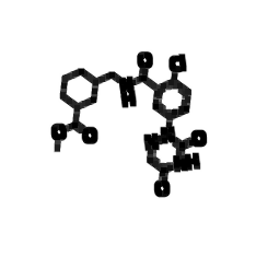 COC(=O)C1CCCC(CNC(=O)c2cc(-n3ncc(=O)[nH]c3=O)ccc2Cl)C1